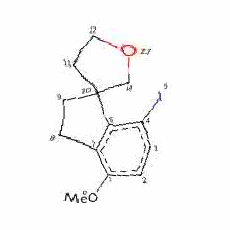 COc1ccc(I)c2c1CCC21CCOC1